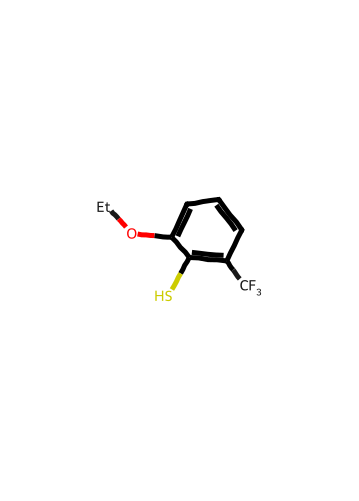 CCOc1cccc(C(F)(F)F)c1S